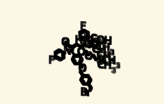 CC(C)(C[C@@H](CCC1C(=O)N(c2ccc(F)cc2)[C@@H]1c1ccc(OCc2ccc(CBr)cc2)cc1OCOCC[Si](C)(C)C)c1ccc(F)cc1)[Si](C)(C)O